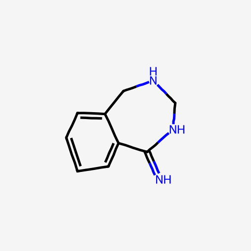 N=C1NCNCc2ccccc21